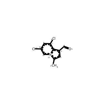 Cc1cc(C=O)c2c(Cl)cc(Cl)cn12